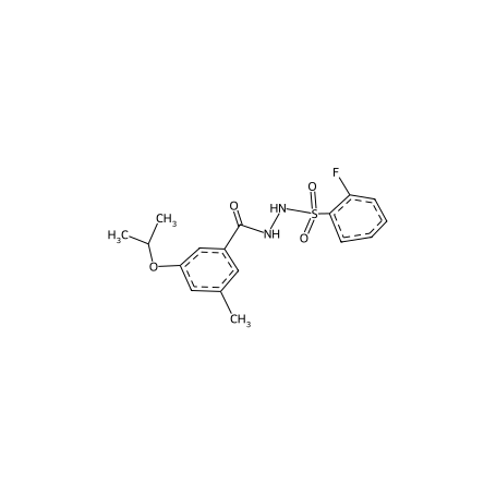 Cc1cc(OC(C)C)cc(C(=O)NNS(=O)(=O)c2ccccc2F)c1